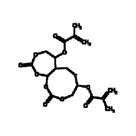 C=C(C)C(=O)OC1[CH]CC2[C](OC(=O)OC1)OC(=O)OCC2OC(=O)C(=C)C